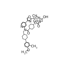 COc1ccc(C2CCC(CN(C(=O)C3CCC(OC(=O)N4CC(O)C4)CC3)c3cc(-c4coc(C(C)(C)C)n4)ccn3)CC2)cc1C